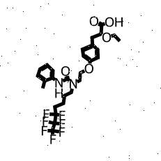 CCOC(Cc1ccc(OCCN(CCCCC(F)(F)C(F)(F)C(F)(F)F)C(=O)Nc2ccccc2C)cc1)C(=O)O